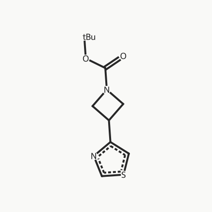 CC(C)(C)OC(=O)N1CC(c2cscn2)C1